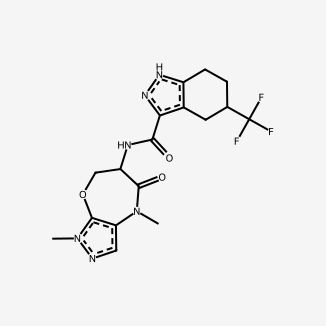 CN1C(=O)C(NC(=O)c2n[nH]c3c2CC(C(F)(F)F)CC3)COc2c1cnn2C